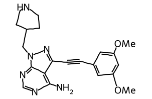 COc1cc(C#Cc2nn(CC3CCNCC3)c3ncnc(N)c23)cc(OC)c1